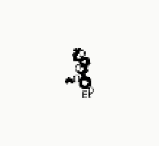 C=CCOC1=CCC(OCC)=CC=C1C1=Cc2ccc3c(c2OC1)CCC(C)(C)O3